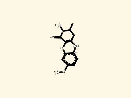 CC1CC2=C(Sc3cc(OC(F)(F)F)ccc3N2)C(=O)N1N